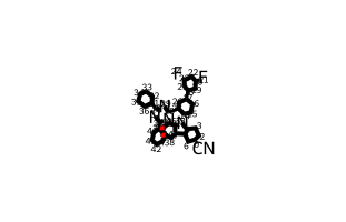 N#Cc1ccc2c(c1)c1ccccc1n2-c1ccc(-c2cc(F)cc(F)c2)cc1-c1nc(-c2ccccc2)nc(-c2ccccc2)n1